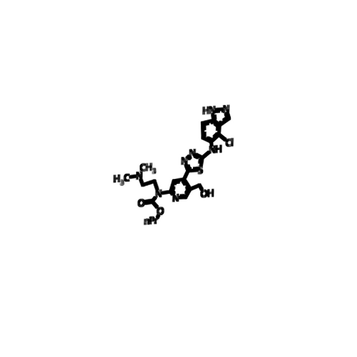 CCCOC(=O)N(CCN(C)C)c1cc(-c2nnc(Nc3ccc4[nH]ncc4c3Cl)s2)c(CO)cn1